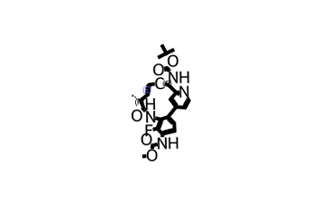 COC(=O)Nc1ccc2c(c1F)NC(=O)[C@H](C)/C=C/C[C@H](NC(=O)OC(C)(C)C)c1cc-2ccn1